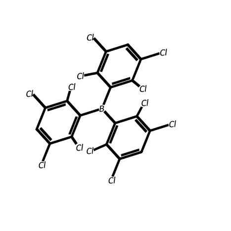 Clc1cc(Cl)c(Cl)c(B(c2c(Cl)c(Cl)cc(Cl)c2Cl)c2c(Cl)c(Cl)cc(Cl)c2Cl)c1Cl